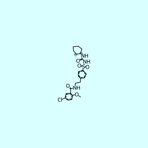 COc1ccc(Cl)cc1C(=O)NCCc1ccc(S(=O)(=O)NC(=O)N[C@@H]2CCCC[C@H]2C)cc1